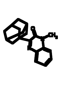 Cn1c(=O)c(C23CC4CC(CC(C4)C2)C3)nc2ccccc21